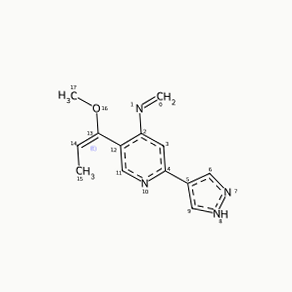 C=Nc1cc(-c2cn[nH]c2)ncc1/C(=C\C)OC